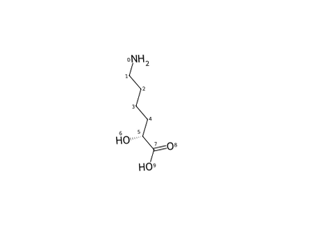 NCCCC[C@@H](O)C(=O)O